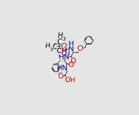 CC(C)(C)OC(=O)N[C@@H](COCc1ccccc1)C(=O)N[C@@H](Cc1ccccc1)C(=O)NCC(=O)O